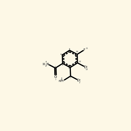 CCCC(CC)c1c(C(N)=O)ccc(F)c1CC